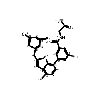 NC(=O)CNC(=O)c1cc(F)cc(-c2ccc(F)c3cc(Cc4cc(F)cc(Cl)c4)sc23)c1